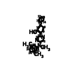 CN(c1cnc(-c2ccc(-n3ccnc3)cc2O)cn1)[C@H]1C[C@]2(C)CC[C@](C)(C1)N2